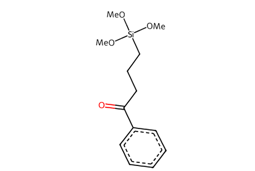 CO[Si](CCCC(=O)c1ccccc1)(OC)OC